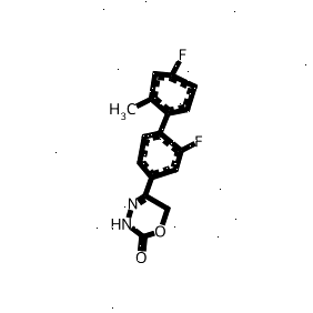 Cc1cc(F)ccc1-c1ccc(C2=NNC(=O)OC2)cc1F